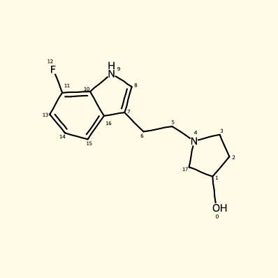 OC1CCN(CCc2c[nH]c3c(F)cccc23)C1